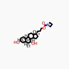 CC[C@H]1[C@@H](O)[C@@H]2[C@H](CC[C@]3(C)[C@@H](CCCOC(=O)N4CCC4)CC[C@@H]23)[C@@]2(C)CC[C@@H](O)C[C@@H]12